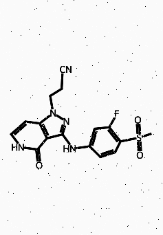 CS(=O)(=O)c1ccc(Nc2nn(CCC#N)c3cc[nH]c(=O)c23)cc1F